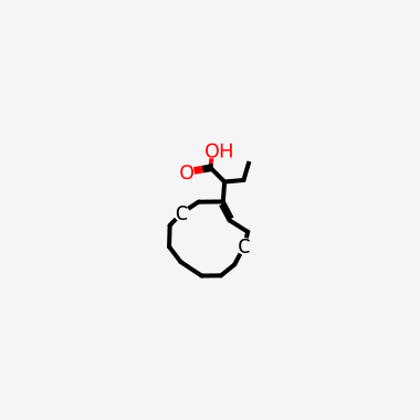 CCC(C(=O)O)/C1=C\CCCCCCCCCC1